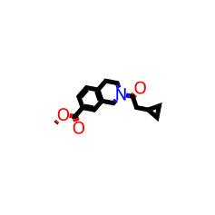 COC(=O)c1ccc2c(c1)CN(C(=O)CC1CC1)CC2